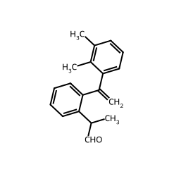 C=C(c1ccccc1C(C)C=O)c1cccc(C)c1C